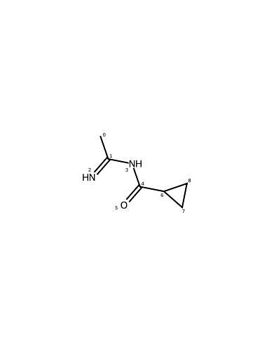 CC(=N)NC(=O)C1CC1